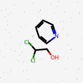 OCC(Cl)Cl.c1ccncc1